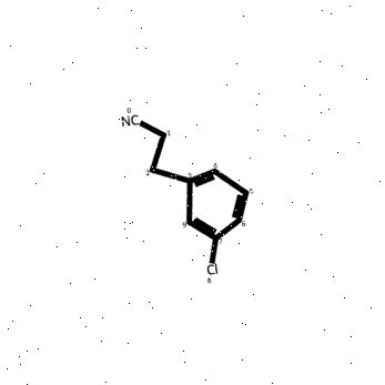 N#C[CH]Cc1cccc(Cl)c1